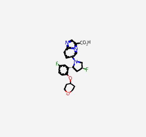 O=C(O)c1cnc2ccc(N3C[C@@H](F)C[C@@H]3c3cc(F)ccc3OC3CCOCC3)cn12